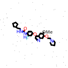 COc1cc2c(Oc3ccc(NC(=O)NCCC4CCCC4)c(F)c3)ccnc2cc1OCCN1CCCCC1